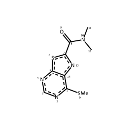 CSc1ncnc2sc(C(=O)N(C)C)nc12